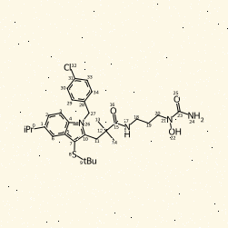 CC(C)c1ccc2c(c1)c(SC(C)(C)C)c(CC(C)(C)C(=O)NCCCN(O)C(N)=O)n2Cc1ccc(Cl)cc1